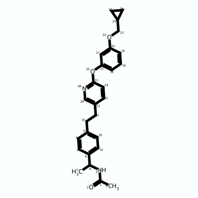 CC(=O)NC(C)c1ccc(CCc2ccc(Oc3cccc(OCC4CC4)c3)nc2)cc1